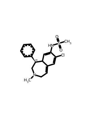 CN1CC=C2C=C(Cl)C(NS(C)(=O)=O)=CC2[C@H](c2ccccc2)C1